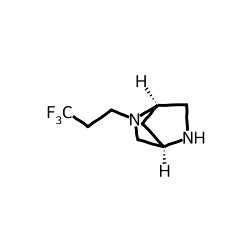 FC(F)(F)CCN1C[C@H]2C[C@@H]1CN2